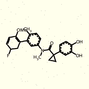 COC1=C(c2cc(N(C)C(=O)C3(c4ccc(O)c(O)c4)CC3)ccc2C)CC(F)C=C1